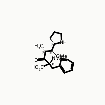 CN[C@@](Cc1ccccc1)(C(=O)O)C(=O)[C@H](C)[C@@H](OC)[C@@H]1CCCN1